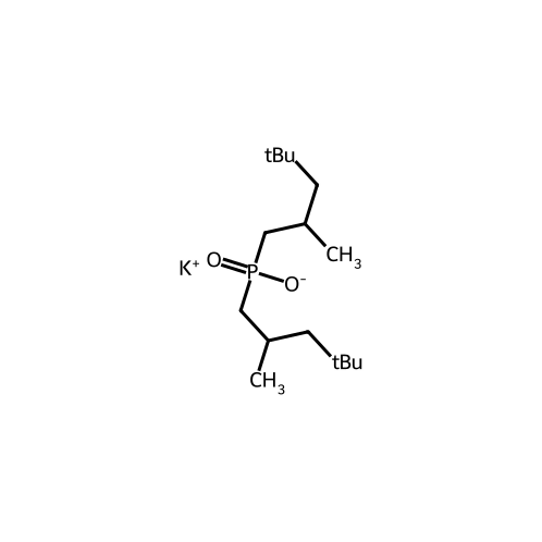 CC(CC(C)(C)C)CP(=O)([O-])CC(C)CC(C)(C)C.[K+]